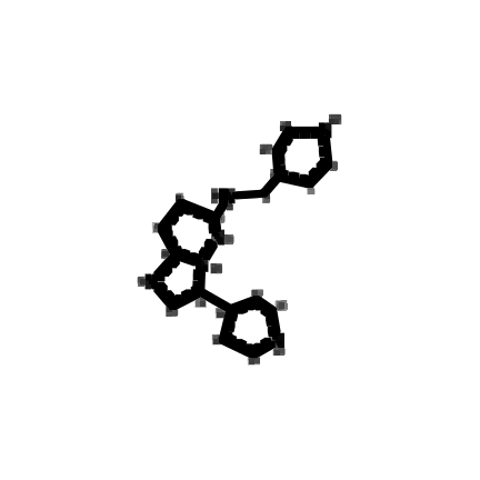 c1cc(CNc2ccc3ncc(-c4ccncc4)n3n2)ccn1